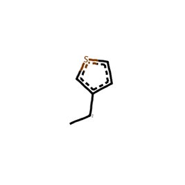 C[C]c1ccsc1